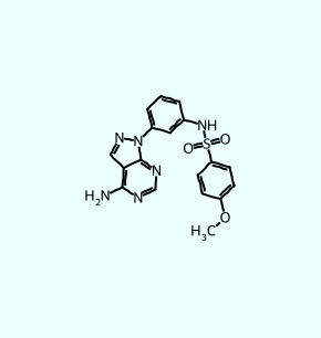 COc1ccc(S(=O)(=O)Nc2cccc(-n3ncc4c(N)ncnc43)c2)cc1